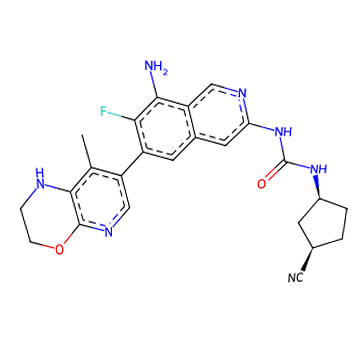 Cc1c(-c2cc3cc(NC(=O)N[C@H]4CC[C@@H](C#N)C4)ncc3c(N)c2F)cnc2c1NCCO2